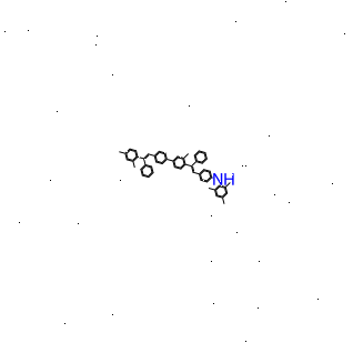 Cc1ccc(C(=Cc2ccc(-c3ccc(C(=Cc4ccc(Nc5c(C)cc(C)cc5C)cc4)c4ccccc4)c(C)c3)cc2)c2ccccc2)c(C)c1